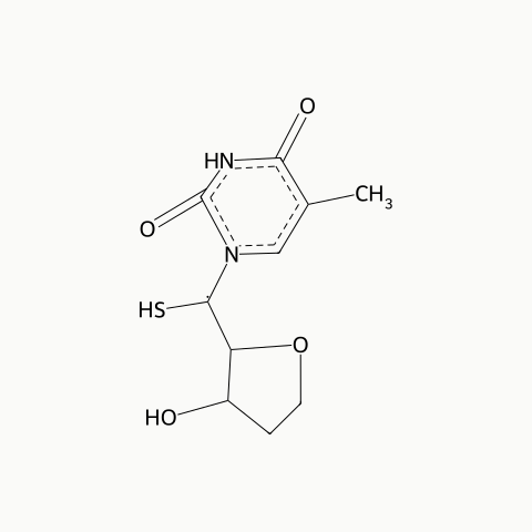 Cc1cn([C](S)C2OCCC2O)c(=O)[nH]c1=O